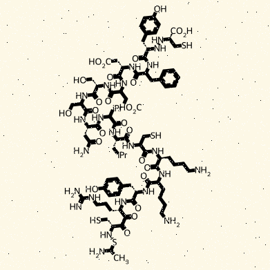 CC(C)C[C@H](NC(=O)C(NC(=O)[C@H](CC(N)=O)NC(=O)C(CO)NC(=O)[C@H](CO)NC(=O)C(CC(=O)O)NC(=O)[C@H](CC(=O)O)NC(=O)C(Cc1ccccc1)NC(=O)[C@H](Cc1ccc(O)cc1)NN[C@@H](CS)C(=O)O)C(C)C)C(=O)NC(CS)C(=O)N[C@@H](CCCCN)C(=O)NC(CCCCN)C(=O)N[C@@H](Cc1ccc(O)cc1)C(=O)N[C@@H](CCCNC(=N)N)C(=O)C(=O)[C@@H](CS)NSC(C)N